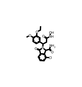 CCOc1cc(C(CC(=O)NO)N2C(=O)c3[c]ccc(Cl)c3C2C(N)=O)ccc1OC